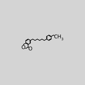 CCc1ccc(CCCCCCc2ccc3c(c2)C(=O)COC3)cc1